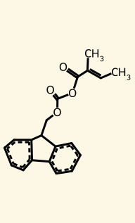 CC=C(C)C(=O)OC(=O)OCC1c2ccccc2-c2ccccc21